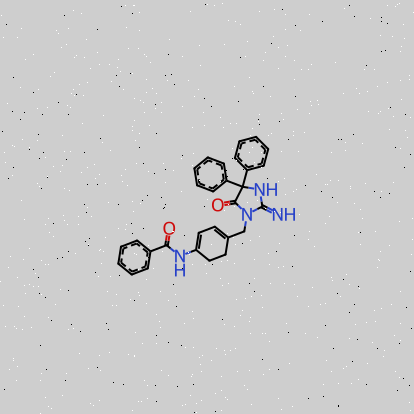 N=C1NC(c2ccccc2)(c2ccccc2)C(=O)N1CC1=CC=C(NC(=O)c2ccccc2)CC1